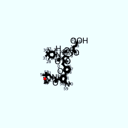 COc1c(CN2O[C@@H](CNC(=O)CCC(=O)O)[C@@H]([C@H](C)O)[C@H]2C(=O)N[C@H]2C[C@@H](C)C(C)(C)[C@@H](C)[C@@H]2C)cccc1-c1cc(C(=O)N[C@H](CN(C)C)CC(C)(C)C)cc(N(C)C)c1